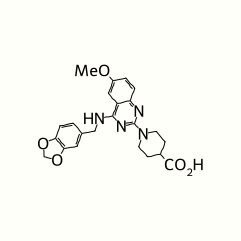 COc1ccc2nc(N3CCC(C(=O)O)CC3)nc(NCc3ccc4c(c3)OCO4)c2c1